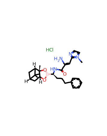 Cl.Cn1ccnc1C=C(N)C(=O)N[C@@H](CCCc1ccccc1)B1O[C@@H]2C[C@@H]3C[C@@H](C3(C)C)[C@]2(C)O1